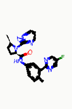 Cc1ccc(NC(=O)[C@H]2CC[C@@H](C)N2c2ncccn2)cc1-c1ncc(F)cn1